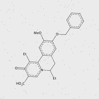 CCc1c2n(cc(C(=O)O)c1=O)C(CC)Cc1cc(OCc3ccccc3)c(OC)cc1-2